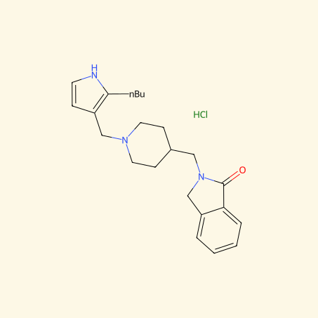 CCCCc1[nH]ccc1CN1CCC(CN2Cc3ccccc3C2=O)CC1.Cl